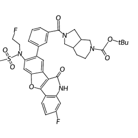 CC(C)(C)OC(=O)N1CCC2CN(C(=O)c3cccc(-c4cc5c(cc4N(CCF)S(C)(=O)=O)oc4c6ccc(F)cc6[nH]c(=O)c54)c3)CC2C1